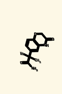 CCC(C)(C(N)=O)c1ccc2c(c1)NC(=O)CO2